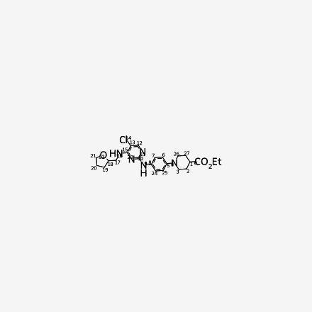 CCOC(=O)C1CCN(c2ccc(Nc3ncc(Cl)c(NCC4CCCO4)n3)cc2)CC1